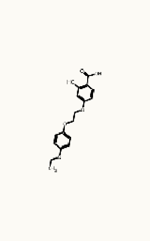 CCOc1ccc(OCCOc2ccc(C(=O)O)c(O)c2)cc1